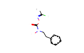 CC(C)C(Cl)=NOC(=O)N(O)CCc1ccccc1